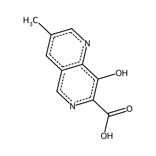 Cc1cnc2c(O)c(C(=O)O)ncc2c1